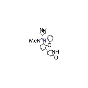 CN/C(=N\c1cccc(-c2ccc(=O)[nH]c2)c1Oc1ccccc1)c1cnn(C)c1